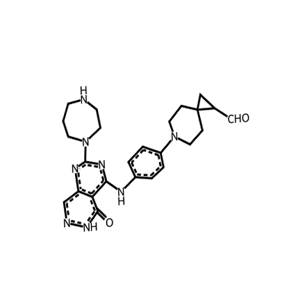 O=CC1CC12CCN(c1ccc(Nc3nc(N4CCCNCC4)nc4cn[nH]c(=O)c34)cc1)CC2